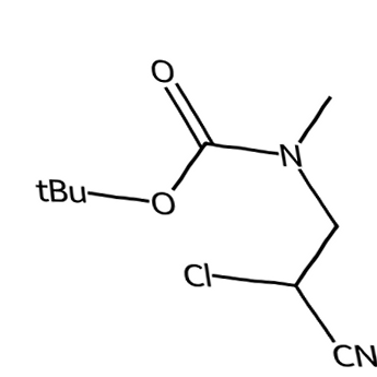 CN(CC(Cl)C#N)C(=O)OC(C)(C)C